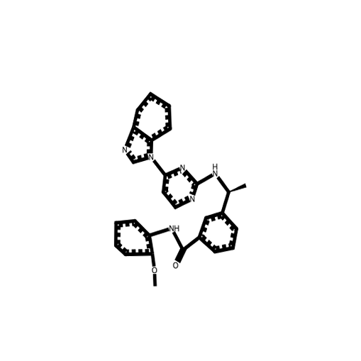 COc1ccccc1NC(=O)c1cccc([C@H](C)Nc2nccc(-n3cnc4ccccc43)n2)c1